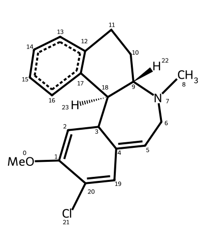 COC1=CC2C(=CCN(C)[C@H]3CCc4ccccc4[C@H]23)C=C1Cl